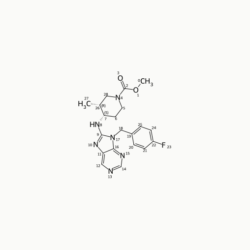 COC(=O)N1CC[C@H](Nc2nc3cncnc3n2Cc2ccc(F)cc2)[C@H](C)C1